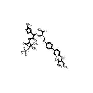 C[n+]1cc(-c2ccc(OC[C@H](O/N=C(\C(=O)N[C@@H]3C(=O)N(OS(=O)(=O)[O-])C3(C)C)c3csc(N)n3)C(=O)O)cc2)ccc1NC(CN)CN